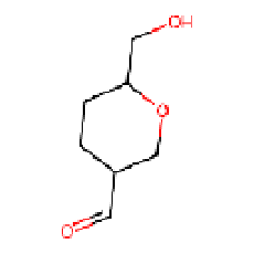 O=CC1CCC(CO)OC1